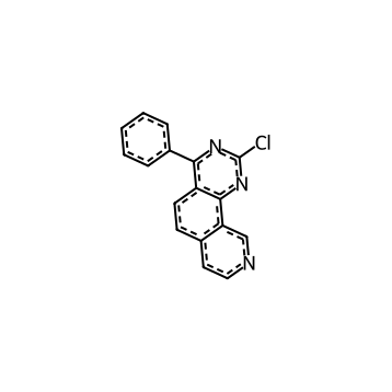 Clc1nc(-c2ccccc2)c2ccc3ccncc3c2n1